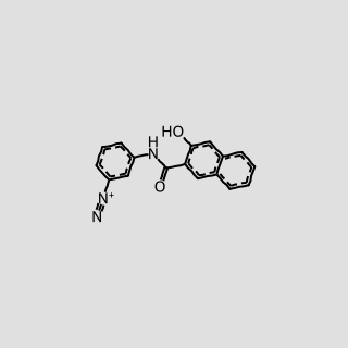 N#[N+]c1cccc(NC(=O)c2cc3ccccc3cc2O)c1